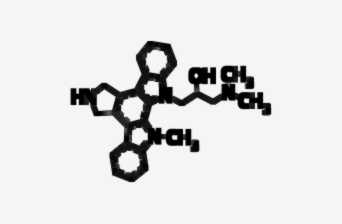 CN(C)CC(O)Cn1c2ccccc2c2c3c(c4c5ccccc5n(C)c4c21)CNC3